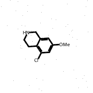 COc1cc(Cl)c2c(c1)CNCC2